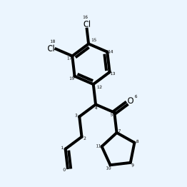 C=CCCC(C(=O)C1CCCC1)c1ccc(Cl)c(Cl)c1